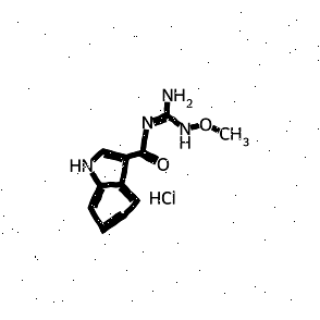 CONC(N)=NC(=O)c1c[nH]c2ccccc12.Cl